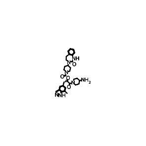 Cc1cc(C[C@@H](OC(=O)N2CCC(N3CCc4ccccc4NC3=O)CC2)C(=O)N2CCC(N)CC2)cc2cn[nH]c12